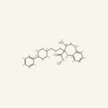 O=C(OCl)C1(CCCN2CCN(c3ccccc3)CC2)Sc2ccccc2OCC1O